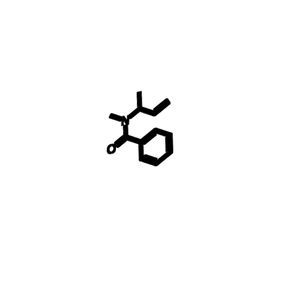 C=CC(C)N(C)C(=O)c1ccccc1